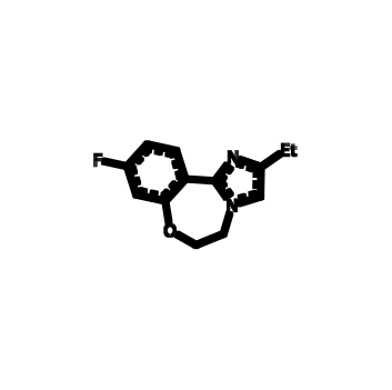 CCc1cn2c(n1)-c1ccc(F)cc1OCC2